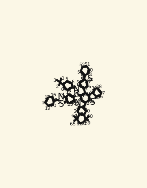 CC(C)(C)c1ccc(N2B3c4cc5nc(-c6ccccc6)sc5cc4-n4c5cc6c(cc5c5c7sc8ccccc8c7c(c3c54)-c3cc4sc5ccccc5c4cc32)C(C)(C)CCC6(C)C)cc1